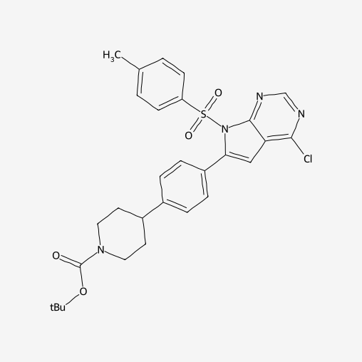 Cc1ccc(S(=O)(=O)n2c(-c3ccc(C4CCN(C(=O)OC(C)(C)C)CC4)cc3)cc3c(Cl)ncnc32)cc1